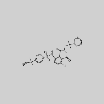 CC(C)(C#N)c1ccc(S(=O)(=O)Nc2ccc(Cl)c3c2C(=O)C(CC(C)(C)c2cccnc2)CC3=O)cc1